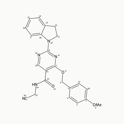 COc1ccc(COc2nc(N3CCc4ccccc43)ncc2C(=O)NCC#N)cc1